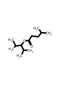 CC(C)CCC(=O)OC(C(C)C)C(C)C